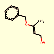 C/C(=C\CO)OCc1ccccc1